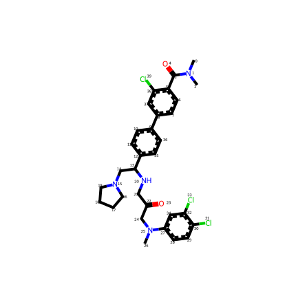 CN(C)C(=O)c1ccc(-c2ccc(C(CN3CCCC3)NCC(=O)CN(C)c3ccc(Cl)c(Cl)c3)cc2)cc1Cl